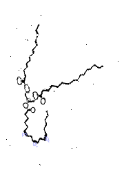 CCCCC/C=C\C/C=C\C/C=C\CCCCC(=O)O[C@@H](COC(=O)CCCCCCCCCCCCC)COC(=O)CCCCCCCCCCCCCCC